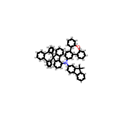 CC1(C)c2ccccc2-c2ccc(N(c3ccc4c(c3)-c3ccccc3Oc3ccccc3-4)c3cccc4c3-c3ccccc3C43c4ccccc4-c4ccccc4-c4ccccc43)cc21